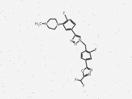 CN1CCN(c2cc(-c3cn(Cc4ccc(-c5nnc(C(F)F)o5)cc4F)nn3)ccc2F)CC1